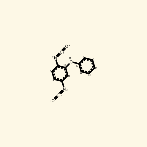 O=C=Nc1ccc(N=C=O)c(Oc2ccccc2)c1